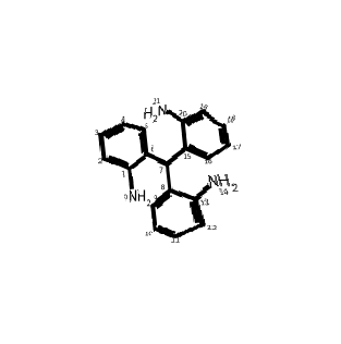 Nc1ccccc1C(c1ccccc1N)c1ccccc1N